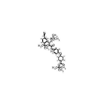 C[SiH](C)OCN(CC(=O)Nc1ccc(OC2CCN(C(=O)OC(C)(C)C)CC2)cc1)c1cc(C#N)ccc1C(C)(C)C